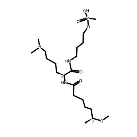 CO[C@@H](C)CCCCC(=O)N[C@@H](CCCCN(C)C)C(=O)NCCCCOP(C)(=O)O